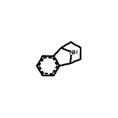 c1ccc2c(c1)C1CCCC2N1